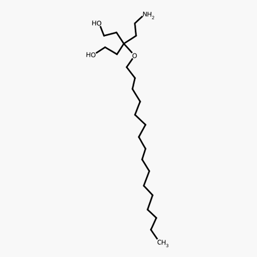 CCCCCCCCCCCCCCCCOC(CCN)(CCO)CCO